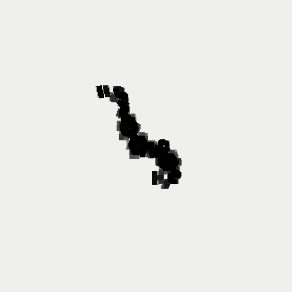 CSCCCN1CCC(c2cccc(CNC(=O)c3ccc(SC)cc3)c2)CC1